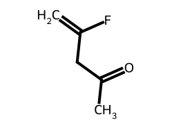 C=C(F)CC(C)=O